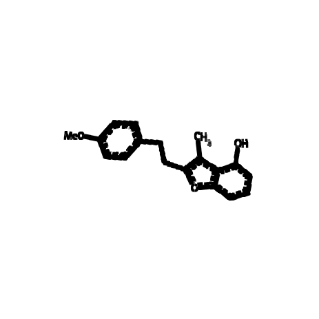 COc1ccc(CCc2oc3cccc(O)c3c2C)cc1